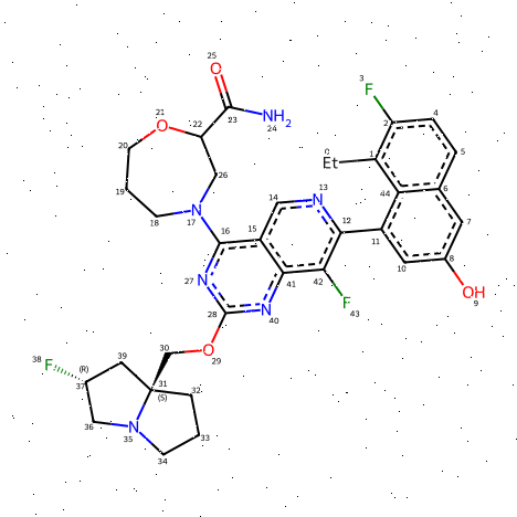 CCc1c(F)ccc2cc(O)cc(-c3ncc4c(N5CCCOC(C(N)=O)C5)nc(OC[C@@]56CCCN5C[C@H](F)C6)nc4c3F)c12